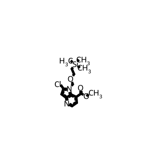 COC(=O)c1ccnc2cc(Cl)n(COCC[Si](C)(C)C)c12